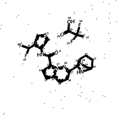 O=C(Nc1cscc1C(F)F)c1ccc2ccc(N3CC4CCC3CN4)nn12.O=C(O)C(F)(F)F